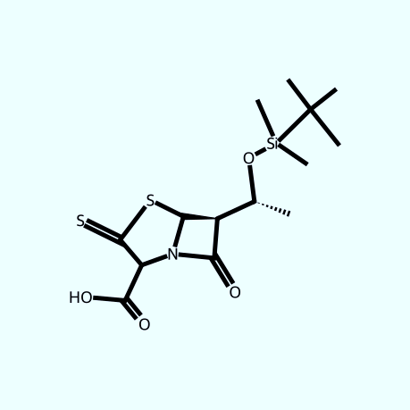 C[C@@H](O[Si](C)(C)C(C)(C)C)[C@H]1C(=O)N2C(C(=O)O)C(=S)SC12